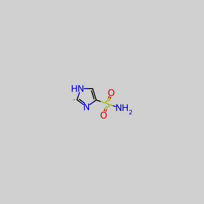 NS(=O)(=O)c1c[nH][c]n1